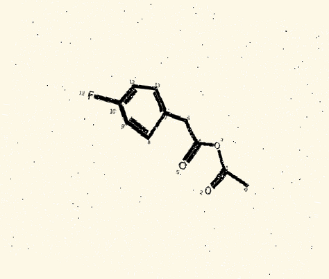 CC(=O)OC(=O)Cc1ccc(F)cc1